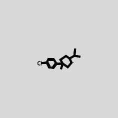 CC(C)C1[CH]CC(C)(c2ccc(Cl)cc2)CC1